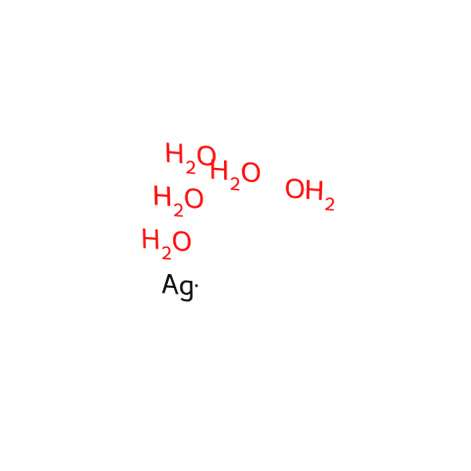 O.O.O.O.O.[Ag]